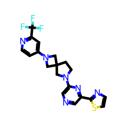 FC(F)(F)c1cc(N2CC3(CCN(c4cncc(-c5nccs5)n4)C3)C2)ccn1